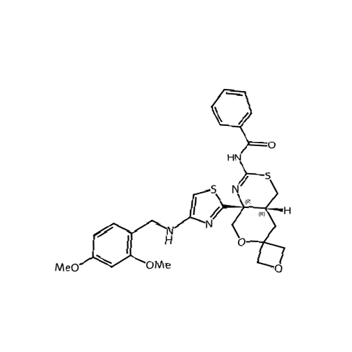 COc1ccc(CNc2csc([C@]34COC5(COC5)C[C@H]3CSC(NC(=O)c3ccccc3)=N4)n2)c(OC)c1